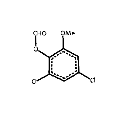 COc1cc(Cl)cc(Cl)c1OC=O